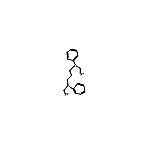 CC(C)CP(CCCP(CC(C)C)c1ccccc1)c1ccccc1